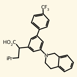 CC(C)CC(C(=O)O)c1cc(-c2ccc(C(F)(F)F)cc2)cc(N2CCc3ccccc3C2)c1